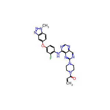 C=CC(=O)N1CCN(c2ncc3ncnc(Nc4ccc(Oc5ccc6c(c5)nnn6C)cc4F)c3n2)CC1